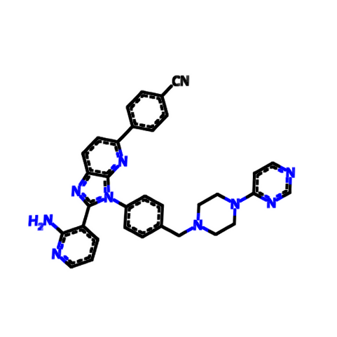 N#Cc1ccc(-c2ccc3nc(-c4cccnc4N)n(-c4ccc(CN5CCN(c6ccncn6)CC5)cc4)c3n2)cc1